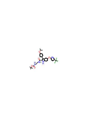 CC(C)Oc1ccc(-c2c(C(=O)NCCNC(=O)OC(C)(C)C)[nH]c3ccc(Oc4ccc(C(F)(F)F)cn4)cc23)cc1